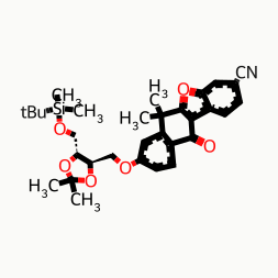 CC1(C)O[C@H](COc2ccc3c(c2)C(C)(C)c2oc4cc(C#N)ccc4c2C3=O)[C@@H](CO[Si](C)(C)C(C)(C)C)O1